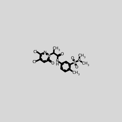 Cc1ccc(NC(=O)C(C)n2nc(Cl)c(Cl)cc2=O)cc1S(=O)(=O)N(C)C